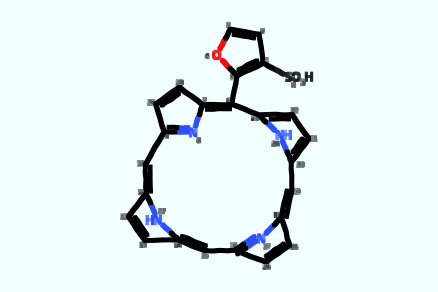 O=S(=O)(O)c1ccoc1-c1c2nc(cc3ccc(cc4nc(cc5ccc1[nH]5)C=C4)[nH]3)C=C2